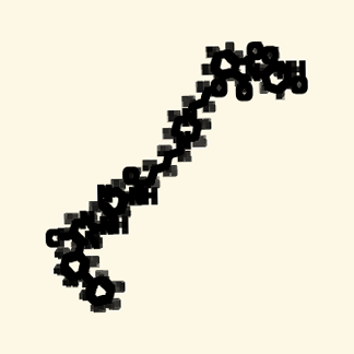 O=C1CCC(N2C(=O)c3cccc(OCCCN4CCN(CCCCCC(=O)Nc5cncc(Nc6ncc(Cl)c(-c7cccc(-c8ccccc8)c7)n6)c5)CC4)c3C2=O)C(=O)N1